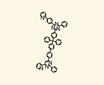 c1ccc(-c2nc(-c3ccc(-c4ccc(C(c5ccccc5)(c5ccccc5)c5ccc(-c6nc(-c7ccccc7)nc(-c7ccc(-c8ccccn8)cc7)n6)cc5)cc4)cc3)cc(-c3ccccn3)n2)cc1